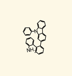 Nc1ccccc1-c1ccccc1-c1ccc2c3ccccc3n(-c3ccccc3)c2c1